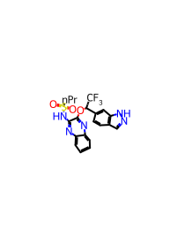 CCCS(=O)(=O)Nc1nc2ccccc2nc1OC(c1ccc2cn[nH]c2c1)C(F)(F)F